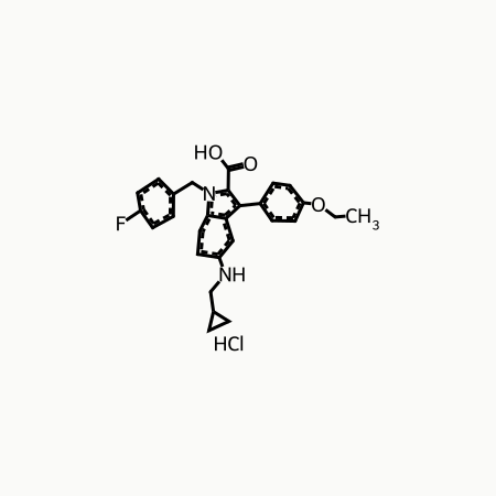 CCOc1ccc(-c2c(C(=O)O)n(Cc3ccc(F)cc3)c3ccc(NCC4CC4)cc23)cc1.Cl